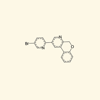 Brc1ccc(-c2cnc3c(c2)-c2ccccc2OC3)nc1